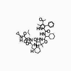 CCC[C@H](NC(=O)[C@@H]1C[C@@H]2CCCC[C@@H]2N1C(=O)[C@@H](NC(=O)[C@@H](NC(=O)c1[nH]c(C)c(C(C)=O)c1-c1ccccc1)C1CCCCC1)C(C)(C)C)C(=O)C(=O)NC1CC1